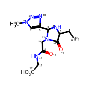 CC(C)CC1NC(c2cn(C)nn2)N(CC(=O)NCC(=O)O)C1=O